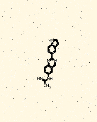 CC(=N)Nc1ccc2nc(-c3ccc4[nH]ccc4c3)ncc2c1